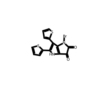 O=C1C(=O)N(Br)c2c1[nH]c(-c1cccs1)c2-c1cccs1